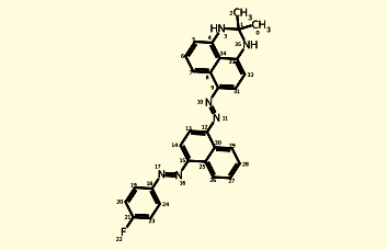 CC1(C)Nc2cccc3c(N=Nc4ccc(N=Nc5ccc(F)cc5)c5ccccc45)ccc(c23)N1